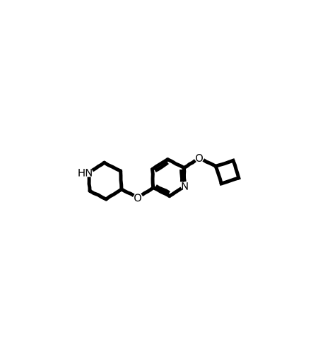 c1cc(OC2CCC2)ncc1OC1CCNCC1